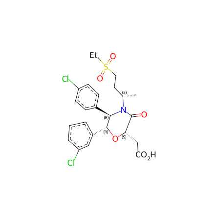 CCS(=O)(=O)CC[C@H](C)N1C(=O)[C@H](CC(=O)O)O[C@H](c2cccc(Cl)c2)[C@H]1c1ccc(Cl)cc1